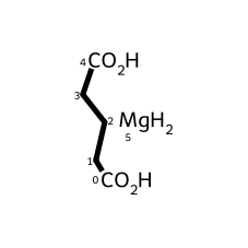 O=C(O)CCCC(=O)O.[MgH2]